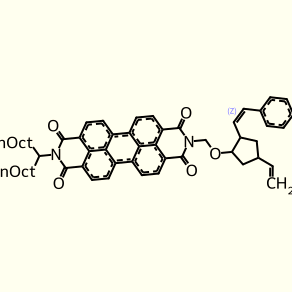 C=CC1CC(/C=C\c2ccccc2)C(OCN2C(=O)c3ccc4c5ccc6c7c(ccc(c8ccc(c3c48)C2=O)c75)C(=O)N(C(CCCCCCCC)CCCCCCCC)C6=O)C1